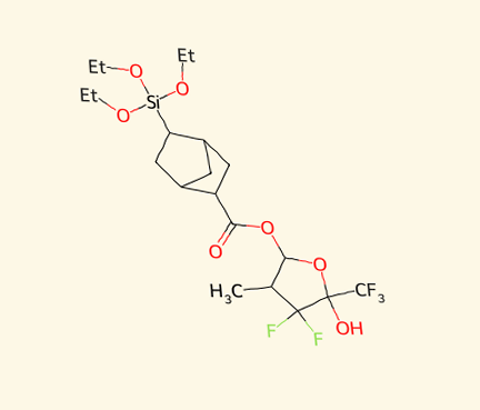 CCO[Si](OCC)(OCC)C1CC2CC1CC2C(=O)OC1OC(O)(C(F)(F)F)C(F)(F)C1C